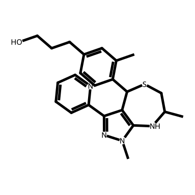 Cc1cc(CCCO)ccc1C1SCC(C)Nc2c1c(-c1ccccn1)nn2C